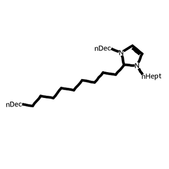 CCCCCCCCCCCCCCCCCCCC1N(CCCCCCC)C=CN1CCCCCCCCCC